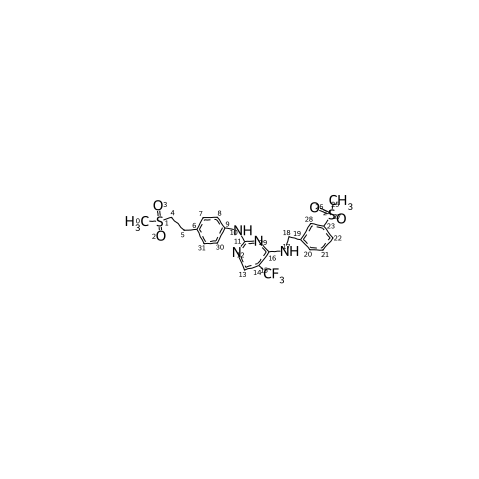 CS(=O)(=O)CCc1ccc(Nc2ncc(C(F)(F)F)c(NCc3cccc(S(C)(=O)=O)c3)n2)cc1